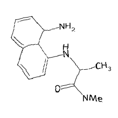 CNC(=O)C(C)NC1=CC=CC2=CC=CC(N)C21